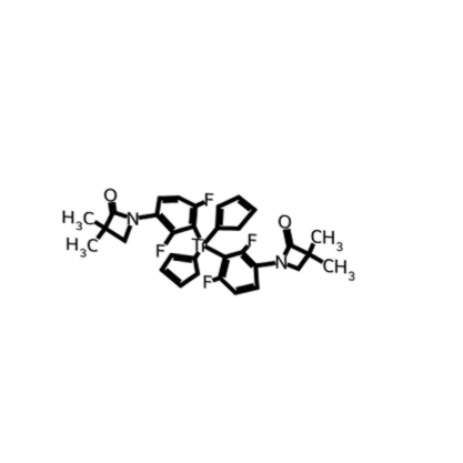 CC1(C)CN(c2ccc(F)[c]([Ti]([C]3=CC=CC3)([C]3=CC=CC3)[c]3c(F)ccc(N4CC(C)(C)C4=O)c3F)c2F)C1=O